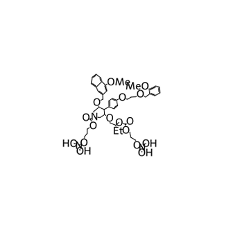 CCC(COC1CN(C(=O)OCCCON(O)O)CC(OCc2cc(OC)c3ccccc3c2)C1c1ccc(OCCCOCc2ccccc2OC)cc1)OC(=O)OCCCON(O)O